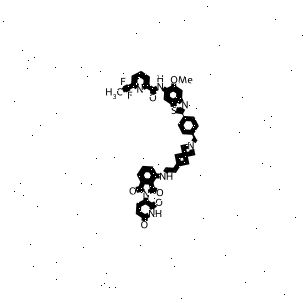 COc1cc2nc([C@H]3CC[C@H](CN4CC5(CC(CCNc6cccc7c6C(=O)N(C6CCC(=O)NC6=O)C7=O)C5)C4)CC3)sc2cc1NC(=O)c1cccc(C(C)(F)F)n1